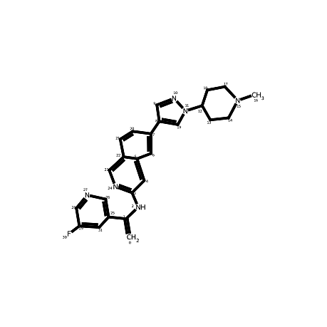 C=C(Nc1cc2cc(-c3cnn(C4CCN(C)CC4)c3)ccc2cn1)c1cncc(F)c1